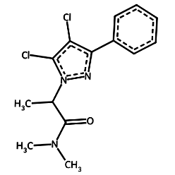 CC(C(=O)N(C)C)n1nc(-c2ccccc2)c(Cl)c1Cl